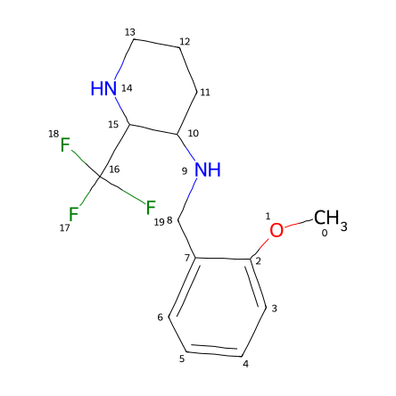 COc1ccccc1CNC1CCCNC1C(F)(F)F